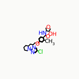 Cc1cc(OCCCC2CCCCN2c2ncc(Cl)cn2)ccc1C(=O)N[C@H]1COC[C@@H]1O